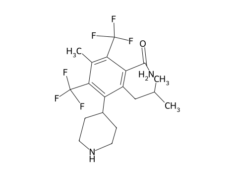 Cc1c(C(F)(F)F)c(C(N)=O)c(CC(C)C)c(C2CCNCC2)c1C(F)(F)F